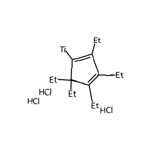 CCC1=[C]([Ti])C(CC)(CC)C(CC)=C1CC.Cl.Cl.Cl